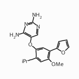 COc1cc(C(C)C)c(Oc2cnc(N)nc2N)cc1-c1ccco1